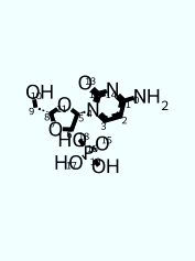 Nc1ccn([C@@H]2CO[C@H](CO)O2)c(=O)n1.O=P(O)(O)O